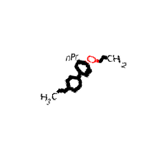 C=CCOc1ccc(C2CCC(C=CC)CC2)cc1CCC